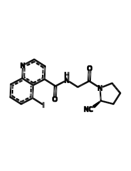 N#C[C@@H]1CCCN1C(=O)CNC(=O)c1ccnc2cccc(I)c12